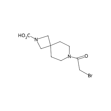 O=C(O)N1CC2(CCN(C(=O)CBr)CC2)C1